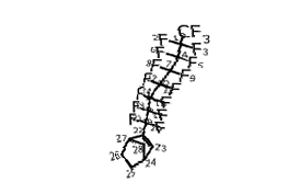 FC(F)(F)C(F)(F)C(F)(F)C(F)(F)C(F)(F)C(F)(F)C(F)(F)C(F)(F)C1=CC2CCC1C2